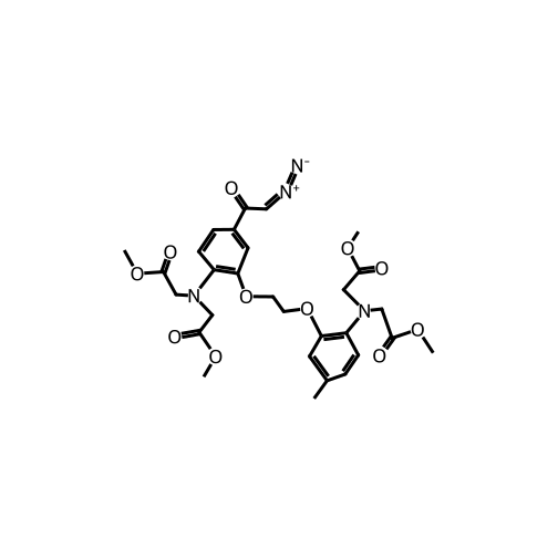 COC(=O)CN(CC(=O)OC)c1ccc(C)cc1OCCOc1cc(C(=O)C=[N+]=[N-])ccc1N(CC(=O)OC)CC(=O)OC